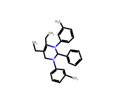 CCC1=C(CC)N(c2cccc(C)c2)C(c2ccccc2)N(c2cccc(C)c2)C1